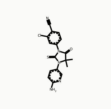 CC1(C)C(=O)N(c2ccc(C#N)c(Cl)c2)C(=S)N1c1ccc(N)nc1